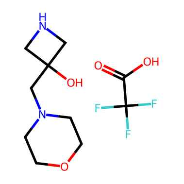 O=C(O)C(F)(F)F.OC1(CN2CCOCC2)CNC1